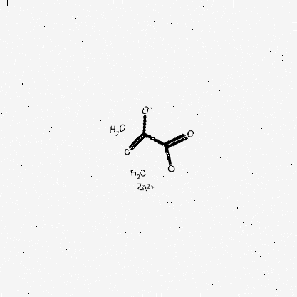 O.O.O=C([O-])C(=O)[O-].[Zn+2]